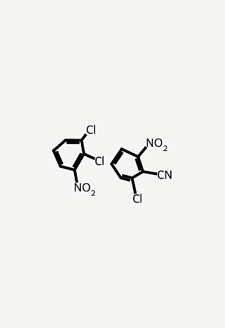 N#Cc1c(Cl)cccc1[N+](=O)[O-].O=[N+]([O-])c1cccc(Cl)c1Cl